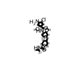 COc1cc(N)c(Cl)cc1C(=O)NC1CCN(CC2CCN(C(=O)NC(C)C)CC2)CC1OC